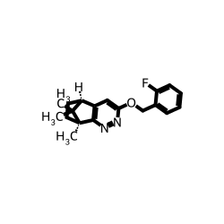 CC1(C)[C@H]2CC[C@]1(C)c1nnc(OCc3ccccc3F)cc12